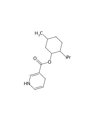 CC1CCC(C(C)C)C(OC(=O)C2=[C]NC=CC2)C1